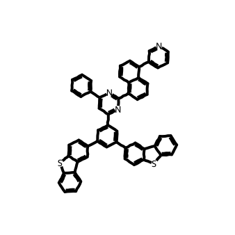 c1ccc(-c2cc(-c3cc(-c4ccc5sc6ccccc6c5c4)cc(-c4ccc5sc6ccccc6c5c4)c3)nc(-c3cccc4c(-c5cccnc5)cccc34)n2)cc1